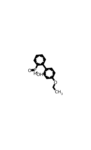 CCOc1ccc(-c2ccccc2[PH](=O)O)cc1